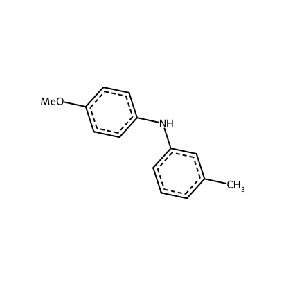 COc1ccc(Nc2cccc(C)c2)cc1